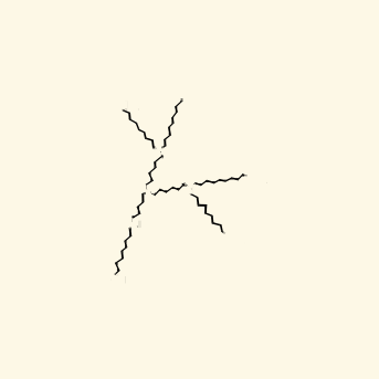 CCCCCCCCCCNC(=O)CCCCN(CCCCCC(=O)N(CCCCCCCCCC)CCCCCCCCCC)CCCCCC(=O)N(CCCCCCCCCC)CCCCCCCCCC